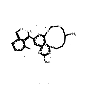 C/C=c1/cccc(F)/c1=C(/C)c1cc2nc(OC)nc3c2c(n1)OCNCC(N)CCC3